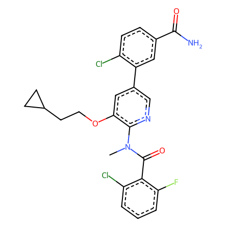 CN(C(=O)c1c(F)cccc1Cl)c1ncc(-c2cc(C(N)=O)ccc2Cl)cc1OCCC1CC1